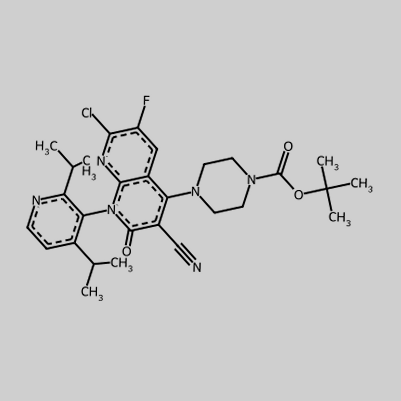 CC(C)c1ccnc(C(C)C)c1-n1c(=O)c(C#N)c(N2CCN(C(=O)OC(C)(C)C)CC2)c2cc(F)c(Cl)nc21